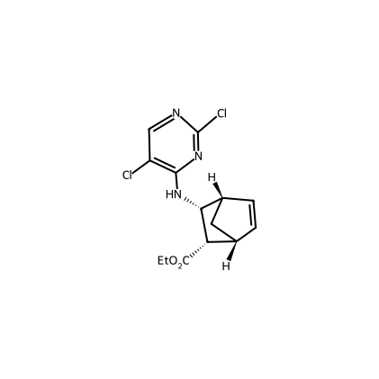 CCOC(=O)[C@@H]1[C@H](Nc2nc(Cl)ncc2Cl)[C@@H]2C=C[C@H]1C2